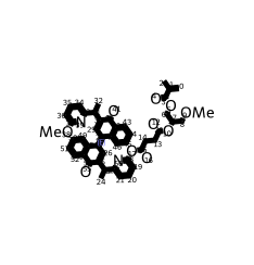 C=C(C)C(=O)OCC(COC)OC(=O)CCC(=O)Oc1cccc(C(C)C2=C/C(=C3/C=C(C(C)c4cccc(OC)n4)C(=O)c4ccccc43)c3ccccc3C2=O)n1